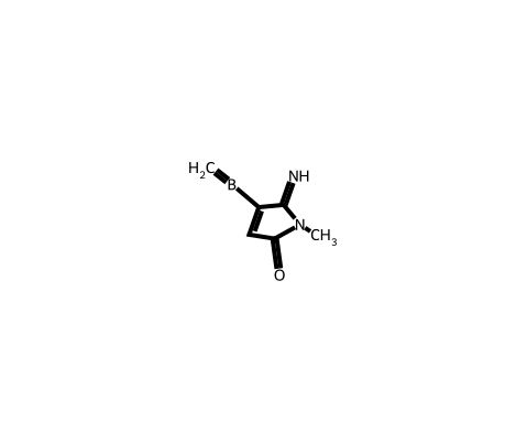 C=BC1=CC(=O)N(C)C1=N